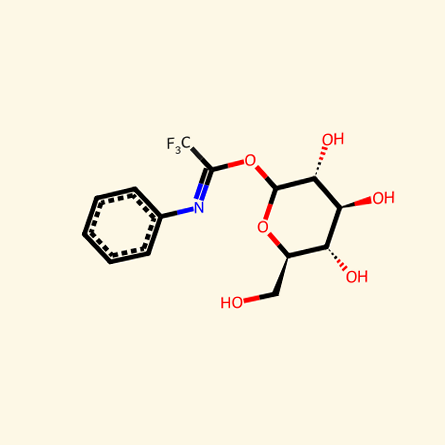 OC[C@H]1OC(OC(=Nc2ccccc2)C(F)(F)F)[C@H](O)[C@@H](O)[C@@H]1O